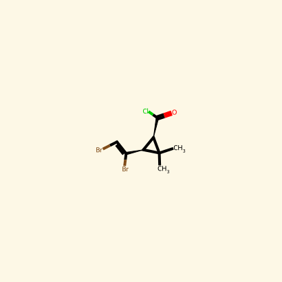 CC1(C)[C@H](C(=O)Cl)[C@@H]1C(Br)=CBr